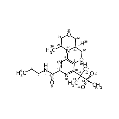 CCCNC(=O)c1nc2c(c(C(C)(C)S(C)(=O)=O)n1)OC[C@@H]1COCC(C)N21